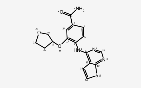 NC(=O)c1ccc(Nc2ncnc3sccc23)c(OC2CCOC2)c1